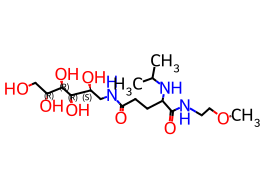 COCCNC(=O)C(CCC(=O)NC[C@H](O)[C@@H](O)[C@H](O)[C@H](O)CO)NC(C)C